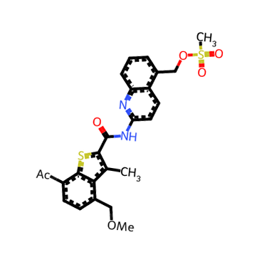 COCc1ccc(C(C)=O)c2sc(C(=O)Nc3ccc4c(COS(C)(=O)=O)cccc4n3)c(C)c12